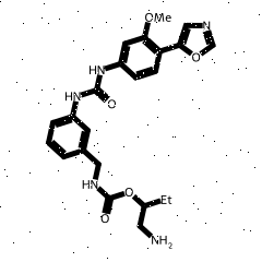 CCC(CN)OC(=O)NCc1cccc(NC(=O)Nc2ccc(-c3cnco3)c(OC)c2)c1